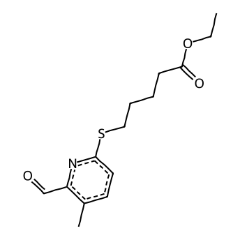 CCOC(=O)CCCCSc1ccc(C)c(C=O)n1